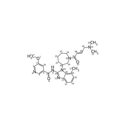 COc1cncc(C(=O)Nc2nc3cccc(C)c3n2C2CCCCN(C(=O)C=CCN(C)C)C2)c1